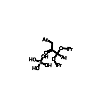 CC(=O)CC(=O)C(OC(C)C)(OC(C)C)C(C)=O.[OH][Ti]([OH])([OH])[OH]